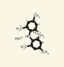 Cc1cc(C)c(Pc2c(C)cc(C)cc2C)c(C)c1.Cl